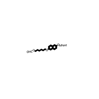 CCCCCOc1ccc2cc(OCCCCCCOC=O)ccc2c1